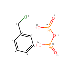 ClCc1ccccc1.O=[PH](O)O[PH](=O)O